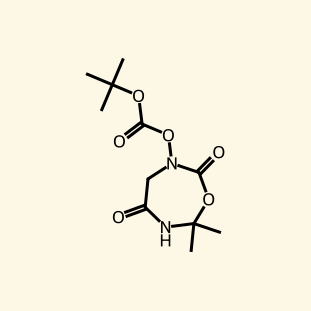 CC(C)(C)OC(=O)ON1CC(=O)NC(C)(C)OC1=O